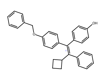 Oc1ccc(/C(=C(\c2ccccc2)C2CCC2)c2ccc(OCc3ccccc3)cc2)cc1